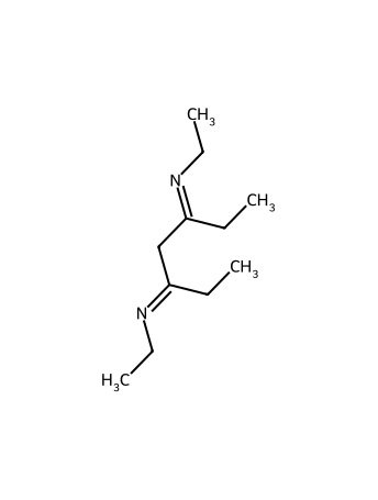 CC/N=C(\CC)C/C(CC)=N/CC